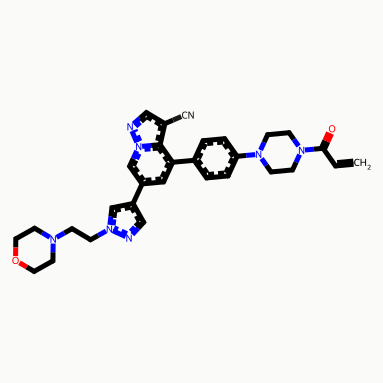 C=CC(=O)N1CCN(c2ccc(-c3cc(-c4cnn(CCN5CCOCC5)c4)cn4ncc(C#N)c34)cc2)CC1